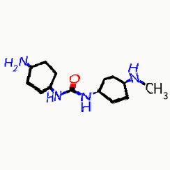 CN[C@H]1CC[C@H](NC(=O)NC2CCC(N)CC2)CC1